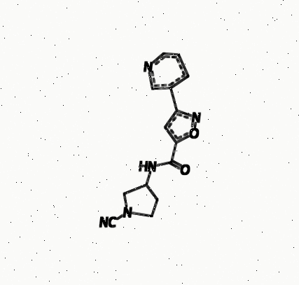 N#CN1CCC(NC(=O)c2cc(-c3cccnc3)no2)C1